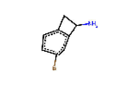 NC1Cc2ccc(Br)cc21